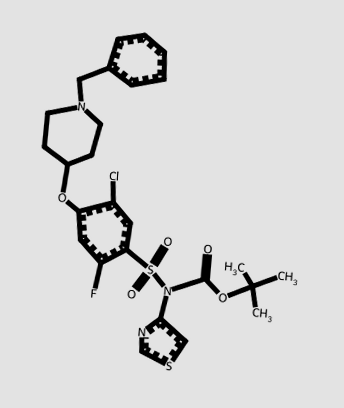 CC(C)(C)OC(=O)N(c1cscn1)S(=O)(=O)c1cc(Cl)c(OC2CCN(Cc3ccccc3)CC2)cc1F